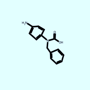 Nc1ccc(N(Cc2ccccc2)C(=O)O)cc1